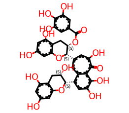 O=C(O[C@H]1Cc2c(O)cc(O)cc2O[C@H]1c1cc(O)c(=O)c2c(O)c(O)cc([C@@H]3Oc4cc(O)cc(O)c4C[C@@H]3O)c2c1)c1cc(O)c(O)c(O)c1